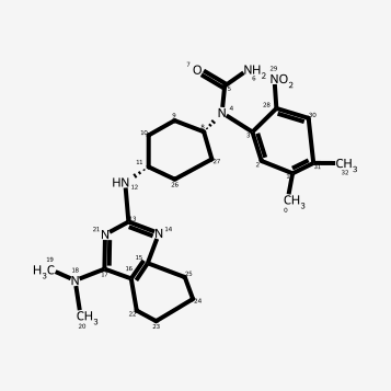 Cc1cc(N(C(N)=O)[C@H]2CC[C@@H](Nc3nc4c(c(N(C)C)n3)CCCC4)CC2)c([N+](=O)[O-])cc1C